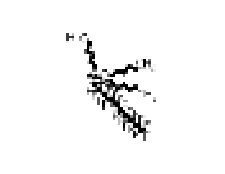 CCCCCCO[Si](OCCCCCC)(OCCCCCC)C(F)(F)C(F)(F)C(F)(F)C(F)(F)C(F)(F)C(F)(F)C(F)(F)C(F)(F)C(F)(F)C(F)(F)F